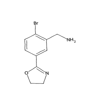 NCc1cc(C2=NCCO2)ccc1Br